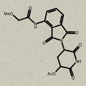 COCC(=O)Nc1cccc2c1C(=O)N(C1CC(OC(C)=O)C(=O)NC1=O)C2=O